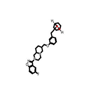 Fc1ccc2onc(N3CCN4CC(COc5cccc(CN6C[C@H]7CC[C@@H](CC7)C6)c5)CCC4C3)c2c1